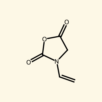 C=CN1CC(=O)OC1=O